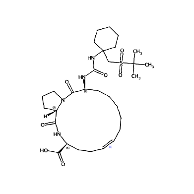 CC(C)(C)S(=O)(=O)CC1(NC(=O)N[C@H]2CCCCC/C=C\CC[C@@H](C(=O)O)NC(=O)[C@@H]3CCCN3C2=O)CCCCC1